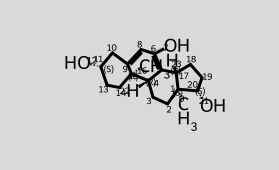 C[C@]12CC[C@H]3C(=C(O)C=C4C[C@@H](O)CC[C@@]43C)[C@@H]1CC[C@@H]2O